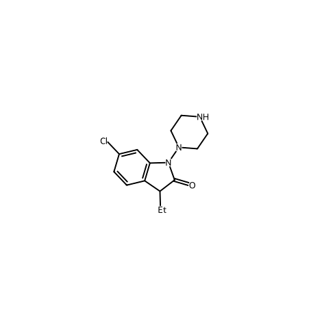 CCC1C(=O)N(N2CCNCC2)c2cc(Cl)ccc21